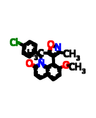 COc1ccc2ccc(=O)n(Cc3ccc(Cl)cc3)c2c1-c1c(C)noc1C